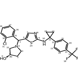 O[C@@H]1CCN(C(c2cnc(NC3(c4ccc(C(F)(F)F)cc4)CC3)s2)c2ccccc2Cl)C1